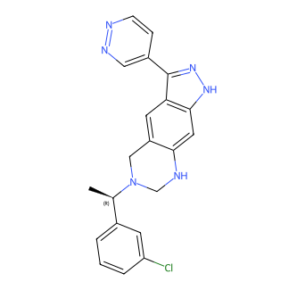 C[C@H](c1cccc(Cl)c1)N1CNc2cc3[nH]nc(-c4ccnnc4)c3cc2C1